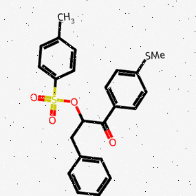 CSc1ccc(C(=O)C(Cc2ccccc2)OS(=O)(=O)c2ccc(C)cc2)cc1